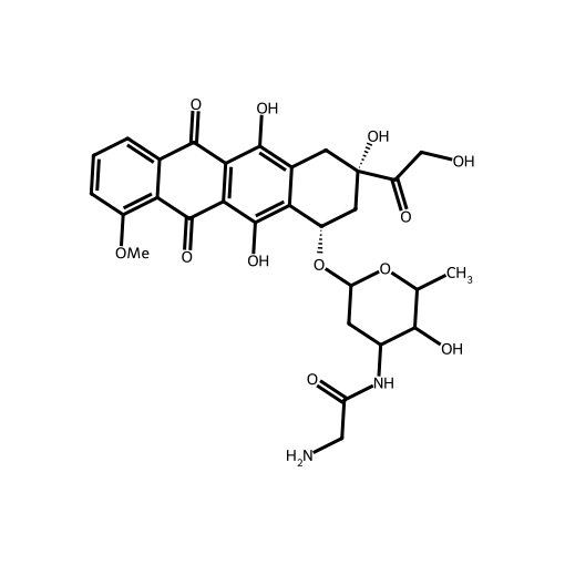 COc1cccc2c1C(=O)c1c(O)c3c(c(O)c1C2=O)C[C@@](O)(C(=O)CO)C[C@@H]3OC1CC(NC(=O)CN)C(O)C(C)O1